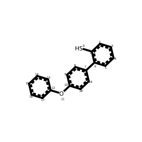 Sc1ccccc1-c1ccc(Oc2ccccc2)cc1